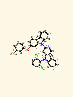 Clc1cccc(Cl)c1-n1c2ccccc2c2cnc(-n3c4ccccc4c4ccc(Oc5cccc(Br)c5)cc43)cc21